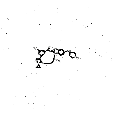 Cc1cc2cc(n1)-c1cnn(C3CC3)c1OCCC[C@@H](C)CN1/C(=N/C2=O)Nc2cc(NC3CCN(C)CC3)ccc21